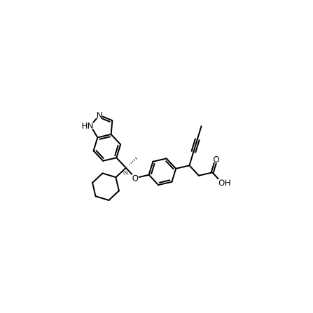 CC#CC(CC(=O)O)c1ccc(O[C@](C)(c2ccc3[nH]ncc3c2)C2CCCCC2)cc1